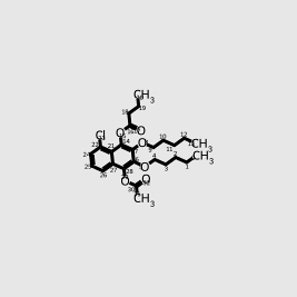 CCCCCOc1c(OCCCCC)c(OC(=O)CCC)c2c(Cl)cccc2c1OC(C)=O